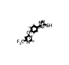 FC(F)(F)c1cc(Oc2ccc(-c3nnc(S)o3)cc2)ncn1